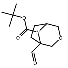 CC(C)(C)OC(=O)N1C2CCC1(C=O)COC2